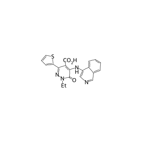 CCn1nc(-c2cccs2)c(C(=O)O)c(Nc2cncc3ccccc23)c1=O